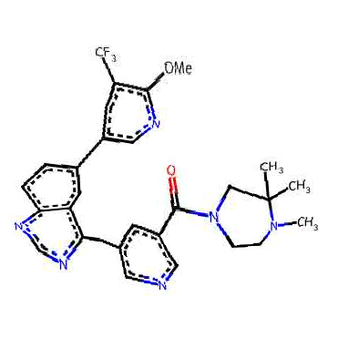 COc1ncc(-c2ccc3ncnc(-c4cncc(C(=O)N5CCN(C)C(C)(C)C5)c4)c3c2)cc1C(F)(F)F